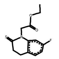 CCOC(=O)CN1C(=S)CCc2ccc(F)cc21